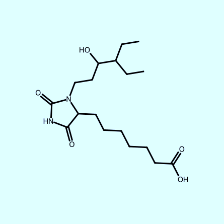 CCC(CC)C(O)CCN1C(=O)NC(=O)C1CCCCCCC(=O)O